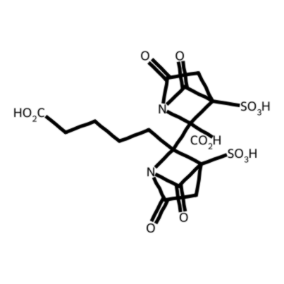 O=C(O)CCCCC1(C2(C(=O)O)N3C(=O)CC2(S(=O)(=O)O)C3=O)N2C(=O)CC1(S(=O)(=O)O)C2=O